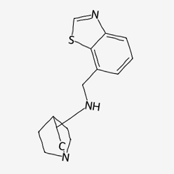 c1cc(CNC2CN3CCC2CC3)c2scnc2c1